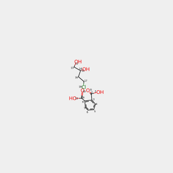 O=C(O)c1ccccc1C(=O)O.OCC(O)CCCl